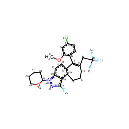 COc1cc(Cl)ccc1C1=C(CC(F)(F)F)CCCc2c1ccc1c2c(F)nn1C1CCCCO1